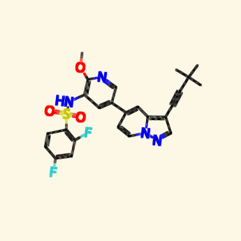 COc1ncc(-c2ccn3ncc(C#CC(C)(C)C)c3c2)cc1NS(=O)(=O)c1ccc(F)cc1F